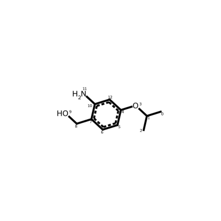 CC(C)Oc1ccc(CO)c(N)c1